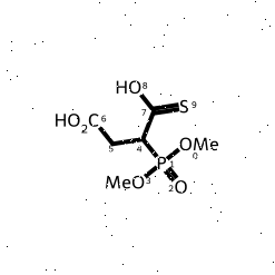 COP(=O)(OC)C(CC(=O)O)C(O)=S